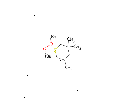 CC(C)(C)OOC(C)(C)C.CC1CSCC(C)(C)C1